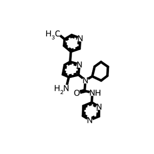 Cc1cncc(-c2ccc(N)c(N(C(=O)Nc3ccncn3)C3CCCCC3)n2)c1